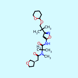 CN(C(=O)C[C@H]1CCOC1)C(C)(C)C(=O)Nc1cc(C(C)(C)COC2CCCCO2)no1